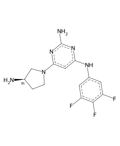 Nc1nc(Nc2cc(F)c(F)c(F)c2)cc(N2CC[C@@H](N)C2)n1